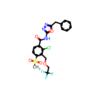 CS(=O)(=O)c1ccc(C(=O)Nc2nnc(Cc3ccccc3)o2)c(Cl)c1COCC(F)(F)F